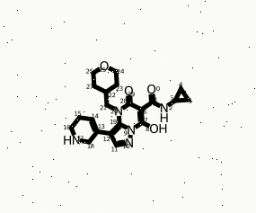 O=C(NC1CC1)c1c(O)n2ncc(C3=CCCNC3)c2n(CC2CCOCC2)c1=O